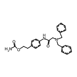 NC(=O)OCCc1ccc(NC(=O)CN(Cc2ccccc2)Cc2ccccc2)cc1